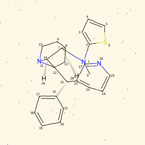 CN(c1cccs1)[C@@H]1C2CCN(CC2)[C@@H]1[C@@H](c1ccccc1)c1cccnc1